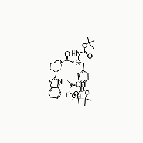 CC(C)(C)OC(=O)N[C@@H](CC(=O)N1CCCC(c2cc3cccc(F)c3n2C[C@@H](O)CO)C1)Cc1ccc(B2OC(C)(C)C(C)(C)O2)cc1